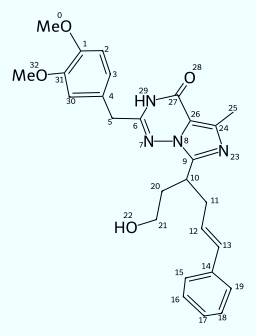 COc1ccc(Cc2nn3c(C(CC=Cc4ccccc4)CCO)nc(C)c3c(=O)[nH]2)cc1OC